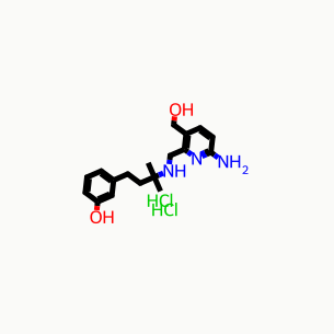 CC(C)(CCc1cccc(O)c1)NCc1nc(N)ccc1CO.Cl.Cl